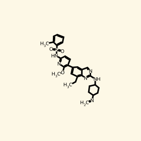 C=NC1CCC(Nc2ncc3cc(-c4ccc(NS(=O)(=O)c5ccccc5C)nc4OC)cc(CC)c3n2)CC1